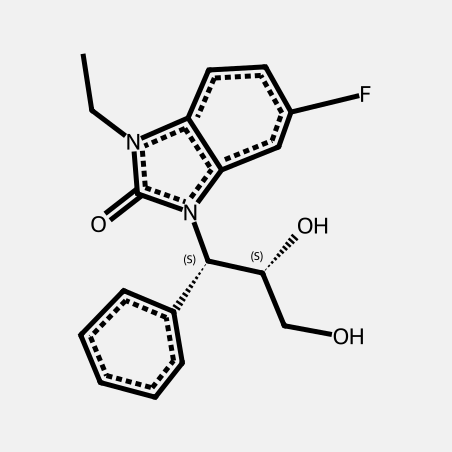 CCn1c(=O)n([C@@H](c2ccccc2)[C@H](O)CO)c2cc(F)ccc21